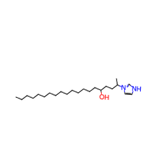 CCCCCCCCCCCCCCCC(O)CCC(C)[n+]1cc[nH]c1